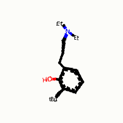 CCN(CC)CCCc1cccc(C(C)(C)C)c1O